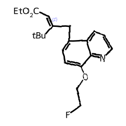 CCOC(=O)/C=C(/Cc1ccc(OCCF)c2ncccc12)C(C)(C)C